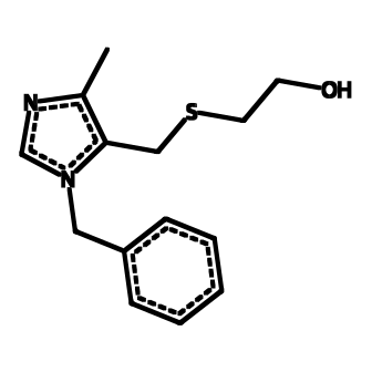 Cc1ncn(Cc2ccccc2)c1CSCCO